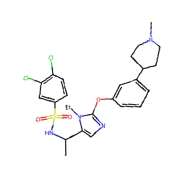 CCn1c(C(C)NS(=O)(=O)c2ccc(Cl)c(Cl)c2)cnc1Oc1cccc(C2CCN(C)CC2)c1